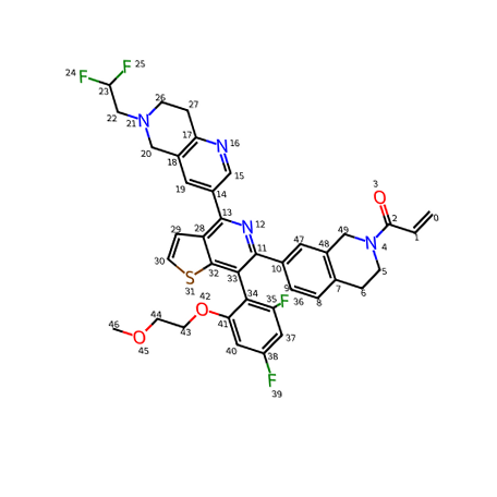 C=CC(=O)N1CCc2ccc(-c3nc(-c4cnc5c(c4)CN(CC(F)F)CC5)c4ccsc4c3-c3c(F)cc(F)cc3OCCOC)cc2C1